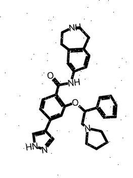 O=C(Nc1ccc2c(c1)CCNCC2)c1ccc(-c2cn[nH]c2)cc1OC(CN1CCCC1)c1ccccc1